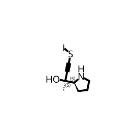 C[C@](O)(C#CSI)[C@@H]1CCCN1